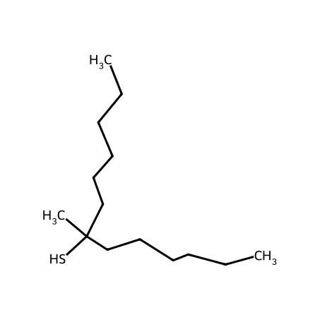 CCCCCCC(C)(S)CCCCCC